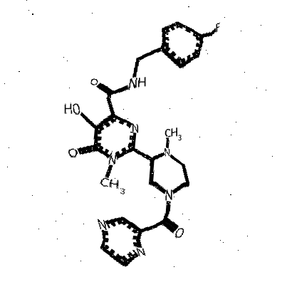 CN1CCN(C(=O)c2cnccn2)CC1c1nc(C(=O)NCc2ccc(F)cc2)c(O)c(=O)n1C